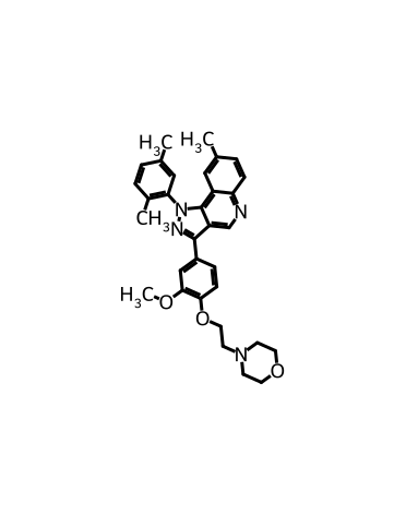 COc1cc(-c2nn(-c3cc(C)ccc3C)c3c2cnc2ccc(C)cc23)ccc1OCCN1CCOCC1